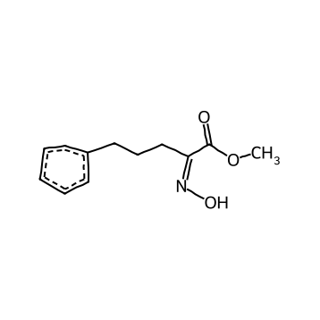 COC(=O)C(CCCc1ccccc1)=NO